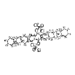 O=P(Cl)(Cl)Oc1c2c(c(OP(=O)(Cl)Cl)c3c1C1CC3c3cc4c(cc31)C1CC4C3=CCCCC31)C1CC2C2=CC3=C(CC21)C1CC3c2ccccc21